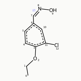 CCOc1ccc(/C=N\O)cc1Cl